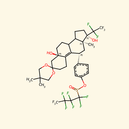 CC1(C)COC2(CCC3=C4C(CC[C@@]3(O)C2)C2CC[C@@](O)(C(F)(F)C(F)(F)F)[C@@]2(C)C[C@@H]4c2ccc(OS(=O)C(F)(F)C(F)(F)C(F)(F)C(F)(F)F)cc2)OC1